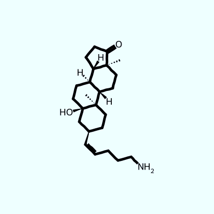 C[C@]12CC[C@H]3[C@@H](CC[C@@]4(O)C[C@H](/C=C\CCCN)CC[C@]34C)[C@@H]1CCC2=O